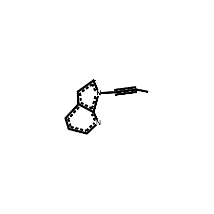 CC#Cn1[c]cc2cccnc21